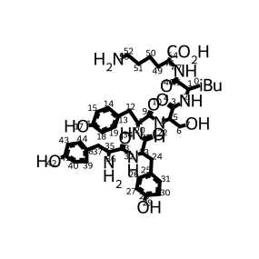 CCC(C)C(NC(=O)C(CO)NC(=O)C(Cc1ccc(O)cc1)NC(=O)C(Cc1ccc(O)cc1)NC(=O)C(N)Cc1ccc(O)cc1)C(=O)NC(CCCCN)C(=O)O